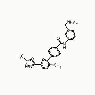 CC(=O)NCc1cccc(NC(=O)c2ccc(-c3cc(-c4nnc(C)o4)ccc3C)cc2)c1